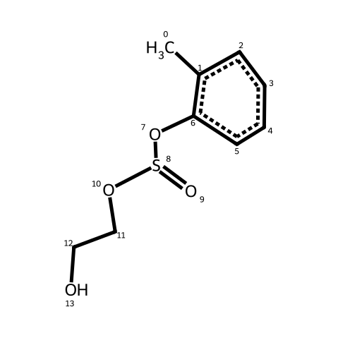 Cc1ccccc1OS(=O)OCCO